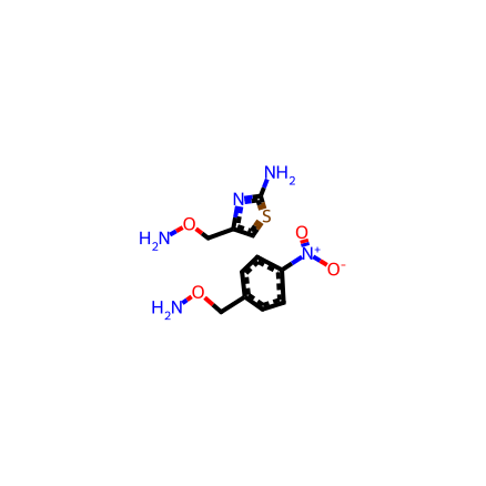 NOCc1ccc([N+](=O)[O-])cc1.NOCc1csc(N)n1